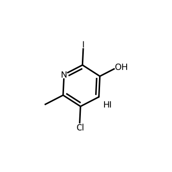 Cc1nc(I)c(O)cc1Cl.I